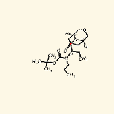 CCCN(C(=O)OC(C)(C)C)[C@H](CC)CN1[C@@H]2COC[C@H]1CC(=O)C2